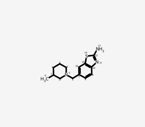 CC1CCCN(Cc2ccc3nc(N)sc3c2)C1